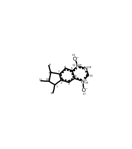 CC1c2cc3c(cc2C(C)C1C)[n+]([O-])n[c][n+]3[O-]